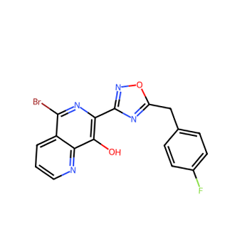 Oc1c(-c2noc(Cc3ccc(F)cc3)n2)nc(Br)c2cccnc12